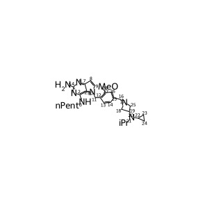 CCCCCNc1nc(N)nc2ccn(Cc3ccc(CN4CC(N(C(C)C)C5CC5)C4)cc3OC)c12